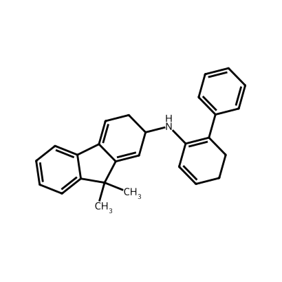 CC1(C)C2=CC(NC3=C(c4ccccc4)CCC=C3)CC=C2c2ccccc21